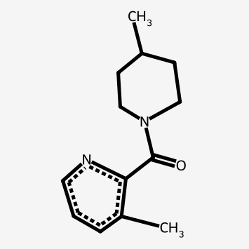 Cc1cccnc1C(=O)N1CCC(C)CC1